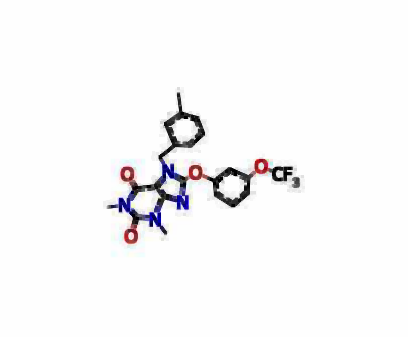 Cc1cccc(Cn2c(Oc3cccc(OC(F)(F)F)c3)nc3c2c(=O)n(C)c(=O)n3C)c1